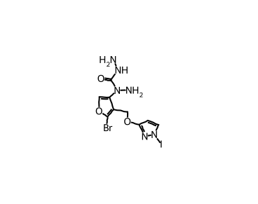 NNC(=O)N(N)c1coc(Br)c1COc1ccn(I)n1